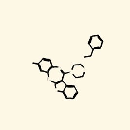 Fc1ccc2c(c1)Nc1sc3ccccc3c1C(N1CCN[C@@H](CCc3ccccc3)C1)=N2